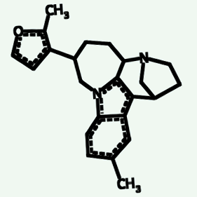 Cc1ccc2c(c1)c1c3n2CC(c2ccoc2C)CCC3N2CCC1C2